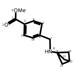 COC(=O)c1ccc(CNC23CC(C2)C3)cc1